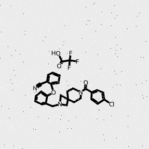 N#Cc1ccccc1Oc1ccccc1CN1CC2(CCN(C(=O)c3ccc(Cl)cc3)CC2)C1.O=C(O)C(F)(F)F